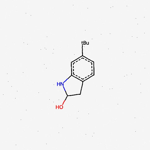 CC(C)(C)c1ccc2c(c1)NC(O)C2